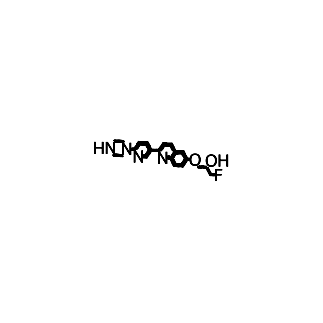 OC(CF)COc1ccc2nc(-c3ccc(N4CCNCC4)nc3)ccc2c1